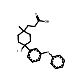 CC1(CCC(=O)O)CCC(O)(c2cccc(Oc3ccccc3)c2)CC1